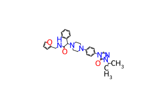 CC(C)n1ncn(-c2ccc(N3CCN(C(C(=O)NCc4ccco4)c4ccccc4)CC3)cc2)c1=O